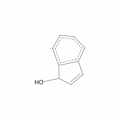 OC1C=Cc2ccc[c]c21